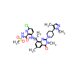 Cc1cc([C@@H](C)Nc2ccc(Cl)nc2C(=O)NS(C)(=O)=O)c2nc(N3CCC(c4c(C)cnn4C)CC3)n(C)c(=O)c2c1